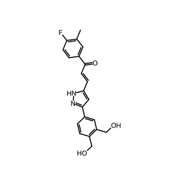 Cc1cc(C(=O)/C=C/c2cc(-c3ccc(CO)c(CO)c3)n[nH]2)ccc1F